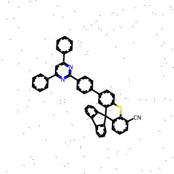 N#Cc1cccc2c1Sc1ccc(-c3ccc(-c4nc(-c5ccccc5)cc(-c5ccccc5)n4)cc3)cc1C21c2ccccc2-c2ccccc21